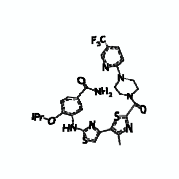 Cc1nc(C(=O)N2CCN(c3ccc(C(F)(F)F)cn3)CC2)sc1-c1csc(Nc2cc(C(N)=O)ccc2OC(C)C)n1